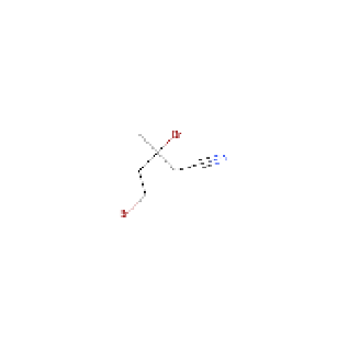 CC(Br)(CC#N)CCBr